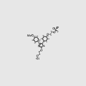 CCOCCOc1nc(-c2ccc(OCCOS(C)(=O)=O)cc2)n(-c2ccc(OC)cc2)n1